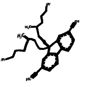 C#Cc1ccc2c(c1)C(CCC(C)CCCC(C)C)(CCC(C)CCCC(C)C)c1cc(C#C)ccc1-2